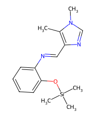 Cc1c(C=Nc2ccccc2O[Si](C)(C)C)ncn1C